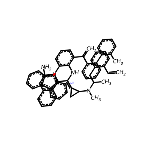 C=Cc1ccccc1CC(C)N(C)C1C/C1=C(/Nc1c(C(=C)c2ccccc2-c2ccccc2C)cccc1-n1c2ccccc2c2ccccc21)c1cc(N)cc2ccccc12